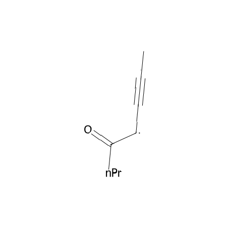 CC#C[CH]C(=O)CCC